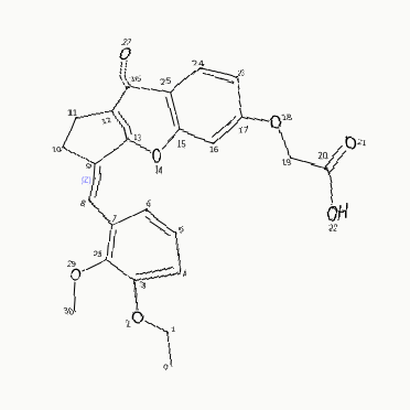 CCOc1cccc(/C=C2/CCc3c2oc2cc(OCC(=O)O)ccc2c3=O)c1OC